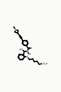 CC(C)N(C(=O)c1ccc(C#CC2CN(C)C2)cc1)C(O)c1ccccc1OCCCCCC(=O)O